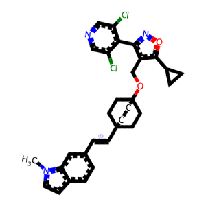 Cn1ccc2ccc(/C=C/C34CCC(OCc5c(-c6c(Cl)cncc6Cl)noc5C5CC5)(CC3)CC4)cc21